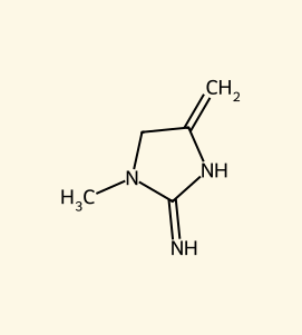 C=C1CN(C)C(=N)N1